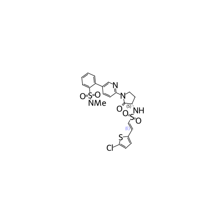 CNS(=O)(=O)c1ccccc1-c1ccc(N2CC[C@H](NS(=O)(=O)/C=C/c3ccc(Cl)s3)C2=O)nc1